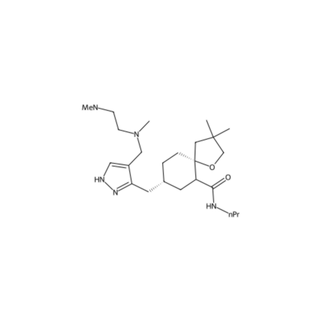 CCCNC(=O)C1C[C@H](Cc2n[nH]cc2CN(C)CCNC)CC[C@@]12CC(C)(C)CO2